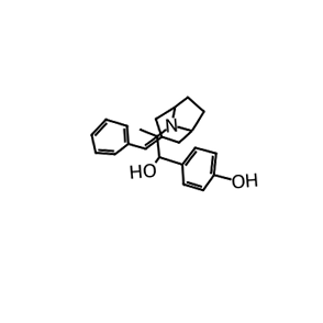 CC(C(O)c1ccc(O)cc1)N1C2CCC1CC(=Cc1ccccc1)C2